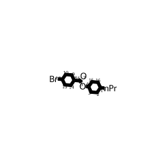 CCCC1CCC(OC(=O)C2CCC(Br)CC2)CC1